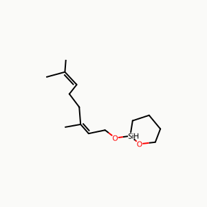 CC(C)=CCCC(C)=CCO[SiH]1CCCCO1